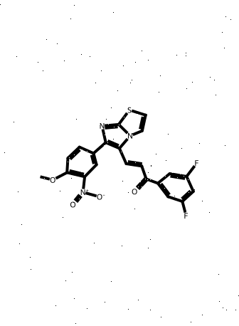 COc1ccc(-c2nc3sccn3c2C=CC(=O)c2cc(F)cc(F)c2)cc1[N+](=O)[O-]